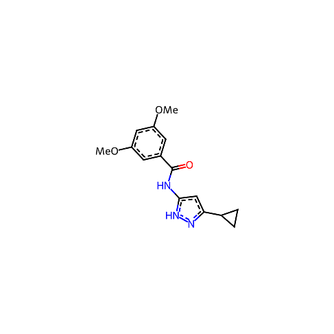 COc1cc(OC)cc(C(=O)Nc2cc(C3CC3)n[nH]2)c1